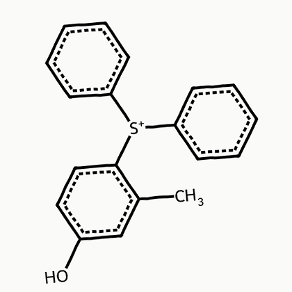 Cc1cc(O)ccc1[S+](c1ccccc1)c1ccccc1